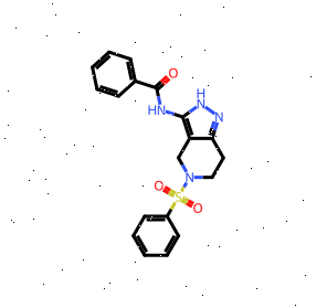 O=C(Nc1[nH]nc2c1CN(S(=O)(=O)c1ccccc1)CC2)c1ccccc1